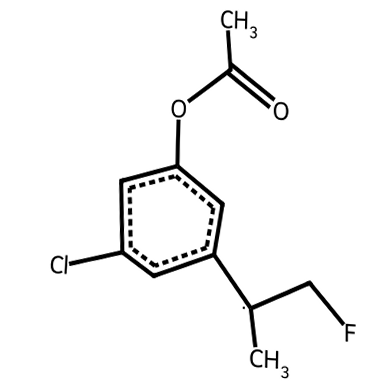 C[C](CF)c1cc(Cl)cc(OC(C)=O)c1